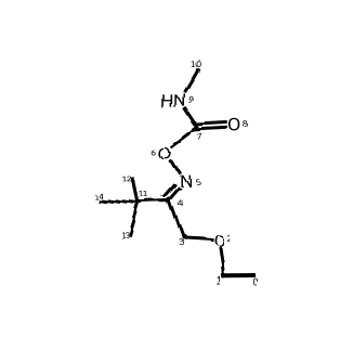 CCOCC(=NOC(=O)NC)C(C)(C)C